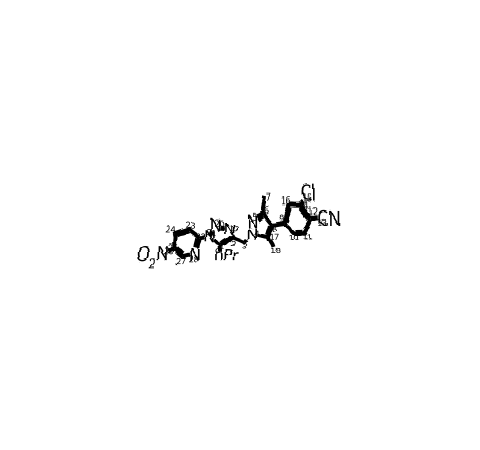 CCCc1c(Cn2nc(C)c(-c3ccc(C#N)c(Cl)c3)c2C)nnn1-c1ccc([N+](=O)[O-])cn1